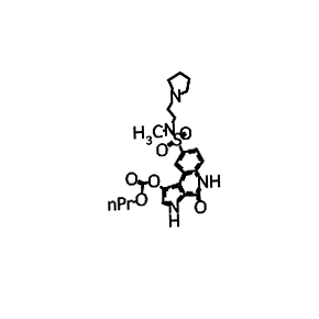 CCCOC(=O)Oc1c[nH]c2c(=O)[nH]c3ccc(S(=O)(=O)N(C)CCN4CCCC4)cc3c12